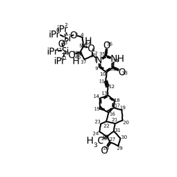 CC(C)[Si]1(C(C)C)OC[C@H]2O[C@@H](n3cc(C#Cc4ccc5c(c4)CCC4C5CC[C@]5(C)C(=O)CCC45)c(=O)[nH]c3=O)C[C@H]2O[Si](C(C)C)(C(C)C)O1